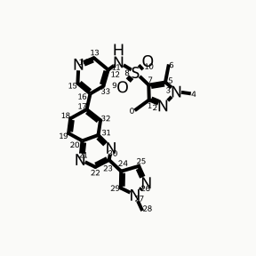 Cc1nn(C)c(C)c1S(=O)(=O)Nc1cncc(-c2ccc3ncc(-c4cnn(C)c4)nc3c2)c1